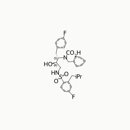 CC(C)Cc1cc(F)ccc1S(=O)(=O)NC[C@@H](O)[C@H](Cc1ccc(F)cc1)N(Cc1ccccc1)C(=O)O